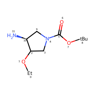 CCOC1CN(C(=O)OC(C)(C)C)C[C@@H]1N